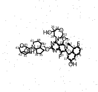 C#Cc1c(F)ccc2cc(O)cc(-c3nc(OC)c4c(N5CCOC[C@@](C)(O)C5)nc(OC[C@]56CCC[C@H]5N(C5CCC7COC5O7)CCC6)nc4c3F)c12